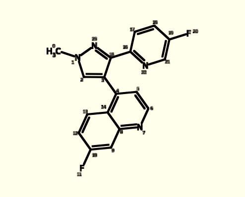 Cn1cc(-c2ccnc3cc(F)ccc23)c(-c2ccc(F)cn2)n1